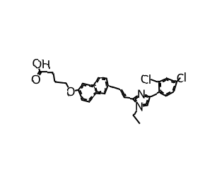 CCn1cc(-c2ccc(Cl)cc2Cl)nc1C=Cc1ccc2cc(OCCCC(=O)O)ccc2c1